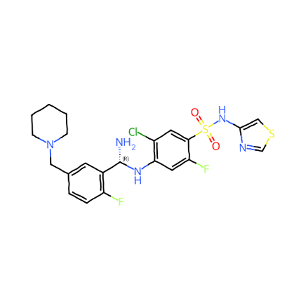 N[C@H](Nc1cc(F)c(S(=O)(=O)Nc2cscn2)cc1Cl)c1cc(CN2CCCCC2)ccc1F